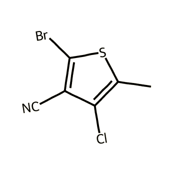 Cc1sc(Br)c(C#N)c1Cl